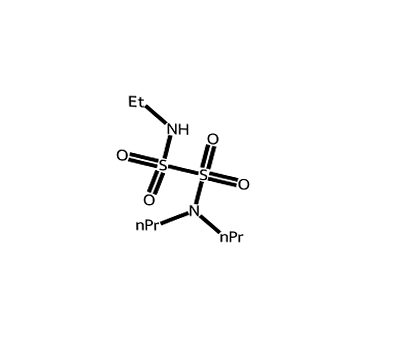 CCCN(CCC)S(=O)(=O)S(=O)(=O)NCC